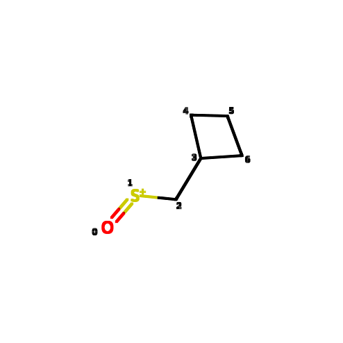 O=[S+]CC1CCC1